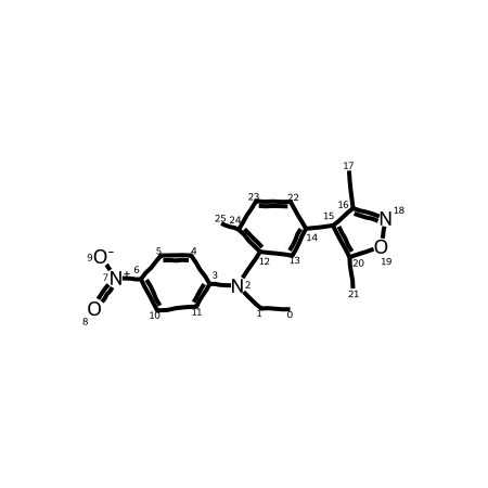 CCN(c1ccc([N+](=O)[O-])cc1)c1cc(-c2c(C)noc2C)ccc1C